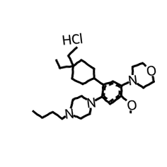 CCCCN1CCN(c2cc(OC)c(N3CCOCC3)cc2C2CCC(CC)(CC)CC2)CC1.Cl